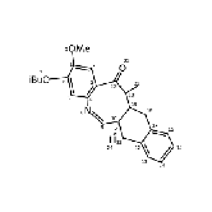 COc1cc2c(cc1OCC(C)C)/N=C\[C@@H]1Cc3ccccc3CC1C(C)C2=O